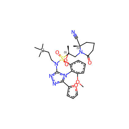 COc1cccc(OC)c1-n1c(-c2ccco2)nnc1N(CC[Si](C)(C)C)S(=O)(=O)[C@@H](C)CN1C(=O)CCC[C@@]1(C)C#N